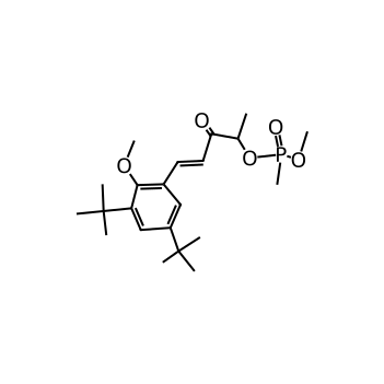 COc1c(C=CC(=O)C(C)OP(C)(=O)OC)cc(C(C)(C)C)cc1C(C)(C)C